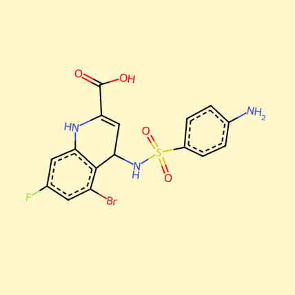 Nc1ccc(S(=O)(=O)NC2C=C(C(=O)O)Nc3cc(F)cc(Br)c32)cc1